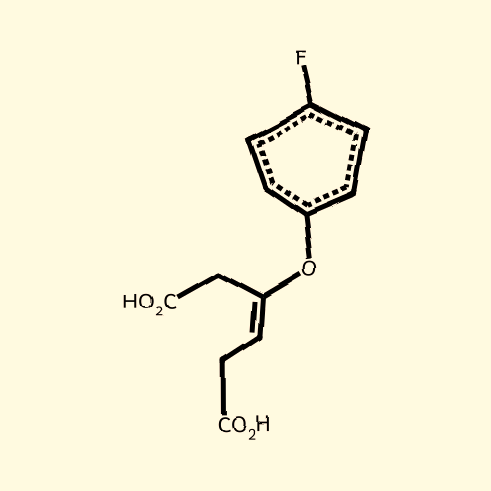 O=C(O)C/C=C(\CC(=O)O)Oc1ccc(F)cc1